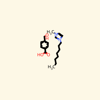 CCCCCCCCN1C=CN(C)C1.O=C(O)c1ccc(CO)cc1